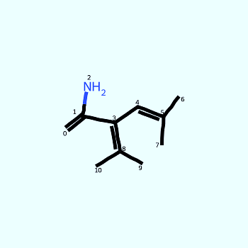 C=C(N)C(C=C(C)C)=C(C)C